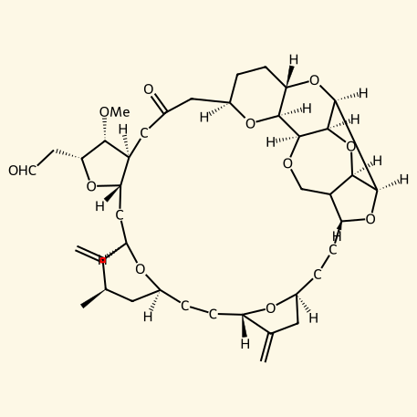 C=C1C[C@@H]2CC[C@H]3O[C@@H]4[C@@H]5O[C@H]6CC[C@H](CC(=O)C[C@@H]7[C@@H](OC)[C@@H](CC=O)O[C@H]7C[C@H]7O[C@@H](CC[C@@H]1O2)C[C@@H](C)C7=C)O[C@@H]6[C@@H]1OCC3[C@H]4O[C@@H]15